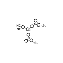 CC(C)(C)c1ccc2c(c1)c1ccccc1n2-c1ccc(-c2cc(-c3ccc(C#N)c(C#N)c3)cc(-c3ccc(-n4c5ccccc5c5cc(C(C)(C)C)ccc54)cc3)n2)cc1